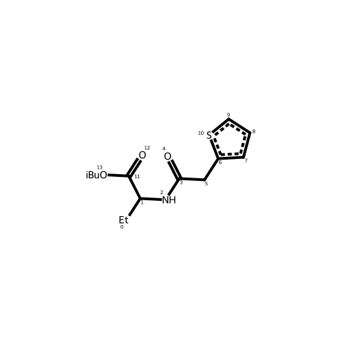 CCC(NC(=O)Cc1cccs1)C(=O)OCC(C)C